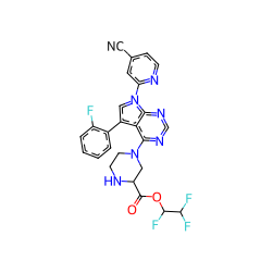 N#Cc1ccnc(-n2cc(-c3ccccc3F)c3c(N4CCNC(C(=O)OC(F)C(F)F)C4)ncnc32)c1